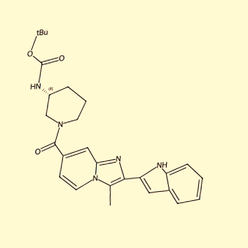 Cc1c(-c2cc3ccccc3[nH]2)nc2cc(C(=O)N3CCC[C@@H](NC(=O)OC(C)(C)C)C3)ccn12